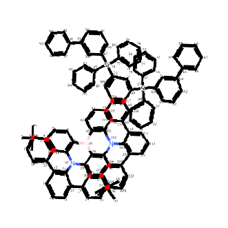 CC(C)(C)c1ccc2c(c1)N(c1c(-c3ccccc3)cccc1-c1ccccc1)c1cc(C(C)(C)C)cc3c1B2c1ccc(-c2cc([Si](c4ccccc4)(c4ccccc4)c4cccc(-c5ccccc5)c4)cc([Si](c4ccccc4)(c4ccccc4)c4cccc(-c5ccccc5)c4)c2)cc1N3c1c(-c2ccccc2)cccc1-c1ccccc1